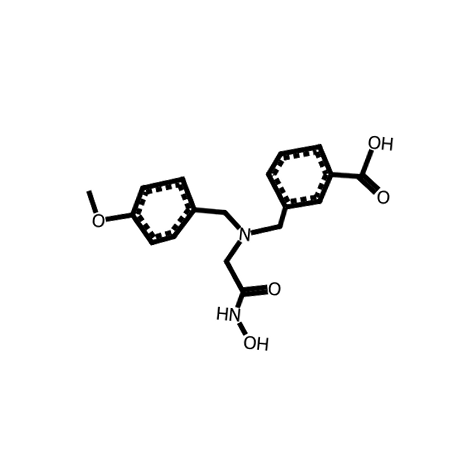 COc1ccc(CN(CC(=O)NO)Cc2cccc(C(=O)O)c2)cc1